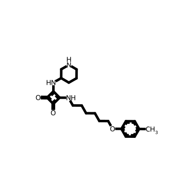 Cc1ccc(OCCCCCCNc2c(NC3CCCNC3)c(=O)c2=O)cc1